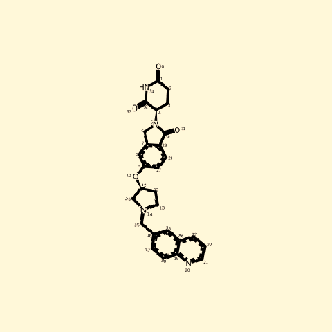 O=C1CC[C@@H](N2Cc3cc(O[C@H]4CCN(Cc5ccc6ncccc6c5)C4)ccc3C2=O)C(=O)N1